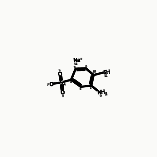 Nc1cc(S(=O)(=O)[O-])ccc1S.[Na+]